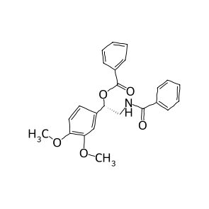 COc1ccc([C@@H](CNC(=O)c2ccccc2)OC(=O)c2ccccc2)cc1OC